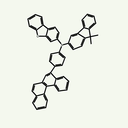 CC1(C)c2ccccc2-c2cc(N(c3ccc(-c4cc5ccc6ccccc6c5c5ccccc45)cc3)c3ccc4c(c3)oc3ccccc34)ccc21